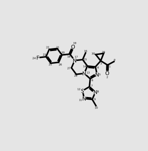 CC(=O)C1(c2nc(-c3nc(C)ns3)n3c2C(C)N(C(=O)c2ccc(F)cc2)CC3)CC1